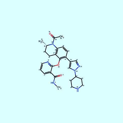 CNC(=O)c1cccnc1Oc1c(-c2cnn(C3CCNCC3)c2)ccc2c1CC[C@H](C)N2C(C)=O